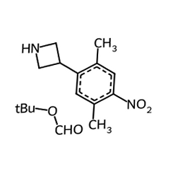 CC(C)(C)OC=O.Cc1cc([N+](=O)[O-])c(C)cc1C1CNC1